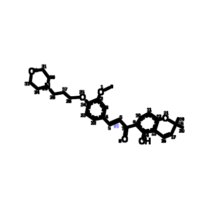 COc1cc(/C=C/C(=O)c2ccc3c(c2O)C=CC(C)(C)O3)ccc1OCCCN1CCOCC1